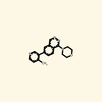 Cc1ccncc1-c1ccc2c(N3CCOCC3)nncc2c1